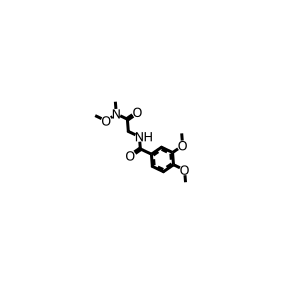 COc1ccc(C(=O)NCC(=O)N(C)OC)cc1OC